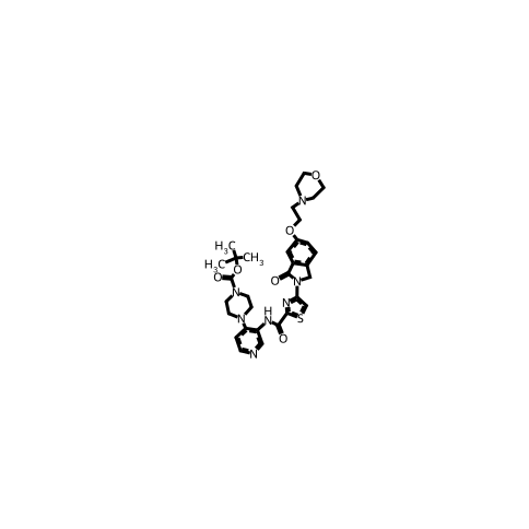 CC(C)(C)OC(=O)N1CCN(c2ccncc2NC(=O)c2nc(N3Cc4ccc(OCCN5CCOCC5)cc4C3=O)cs2)CC1